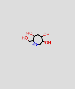 OCC1NCC(O)C(O)CC1O